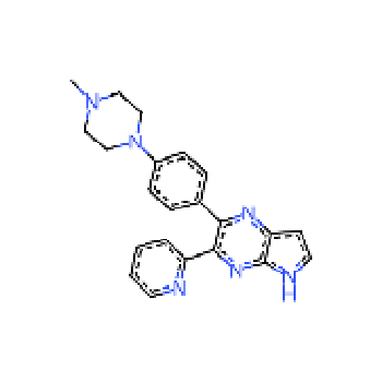 CN1CCN(c2ccc(-c3nc4cc[nH]c4nc3-c3ccccn3)cc2)CC1